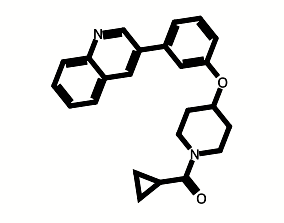 O=C(C1CC1)N1CCC(Oc2cccc(-c3cnc4ccccc4c3)c2)CC1